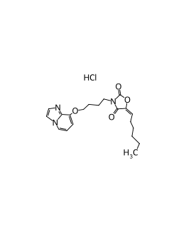 CCCCC/C=C1/OC(=O)N(CCCCOc2cccn3ccnc23)C1=O.Cl